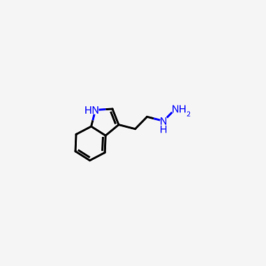 NNCCC1=CNC2CC=CC=C12